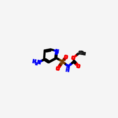 CC(C)(C)OC(=O)NS(=O)(=O)c1cc(N)ccn1